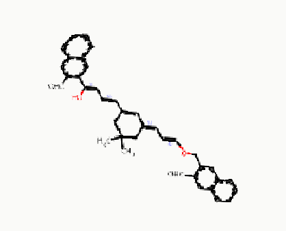 CC1(C)CC(/C=C/C=C(\O)c2cc3ccccc3cc2C=O)=CC(=C/C=C/OCc2cc3ccccc3cc2C=O)/C1